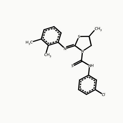 Cc1cccc(N=C2SC(C)CN2C(=S)Nc2cccc(Cl)c2)c1C